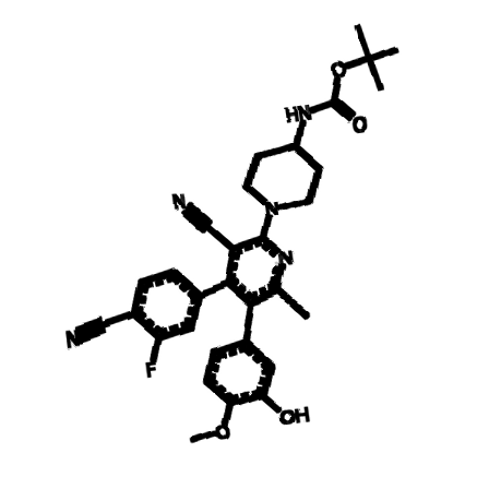 COc1ccc(-c2c(C)nc(N3CCC(NC(=O)OC(C)(C)C)CC3)c(C#N)c2-c2ccc(C#N)c(F)c2)cc1O